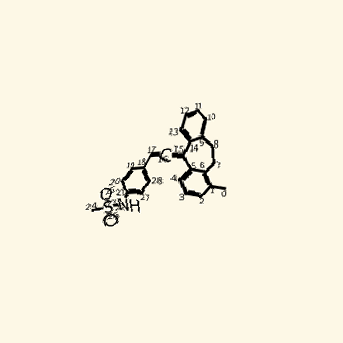 Cc1cccc2c1CCc1ccccc1C2=C=Cc1ccc(NS(C)(=O)=O)cc1